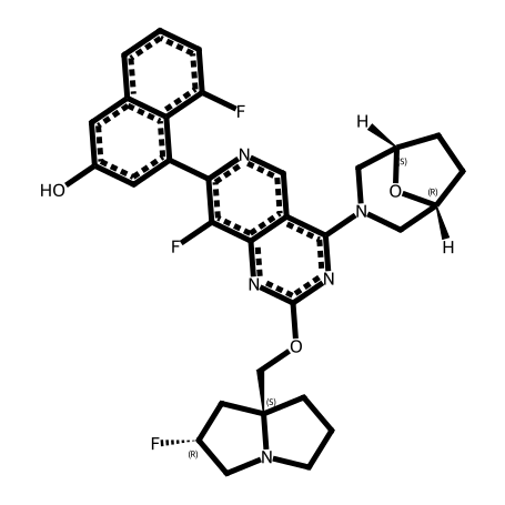 Oc1cc(-c2ncc3c(N4C[C@H]5CC[C@@H](C4)O5)nc(OC[C@@]45CCCN4C[C@H](F)C5)nc3c2F)c2c(F)cccc2c1